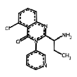 CCC(N)c1nc2cccc(Cl)c2c(=O)n1-c1cccnc1